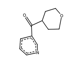 O=C(c1cccnc1)C1CCOCC1